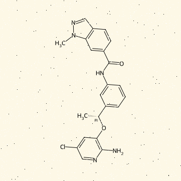 C[C@@H](Oc1cc(Cl)cnc1N)c1cccc(NC(=O)c2ccc3cnn(C)c3c2)c1